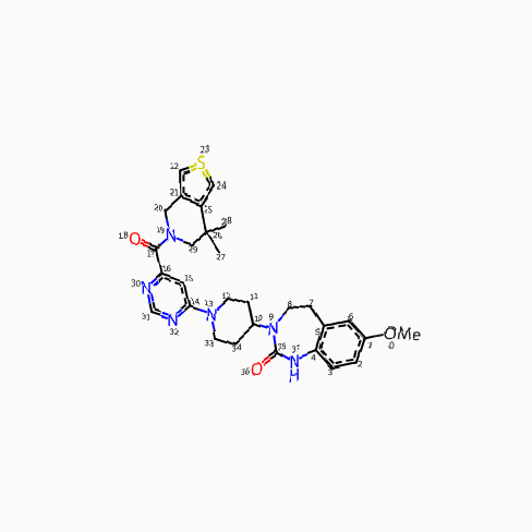 COc1ccc2c(c1)CCN(C1CCN(c3cc(C(=O)N4Cc5cscc5C(C)(C)C4)ncn3)CC1)C(=O)N2